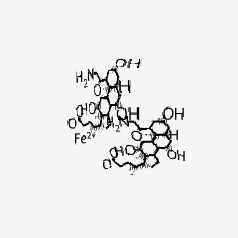 C[C@H](CCC(=O)[O-])[C@H]1CCC2C3C(C[C@H](O)[C@@]21C)[C@@]1(C)C(C(=O)CN)C[C@@H](O)C[C@H]1C[C@H]3O.C[C@H](CCC(=O)[O-])[C@H]1CCC2C3C(C[C@H](O)[C@@]21C)[C@@]1(C)C(C(=O)CN)C[C@@H](O)C[C@H]1C[C@H]3O.[Fe+2]